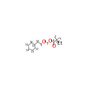 CCC(C)(C)C(=O)OCOCCC1CCCCC1